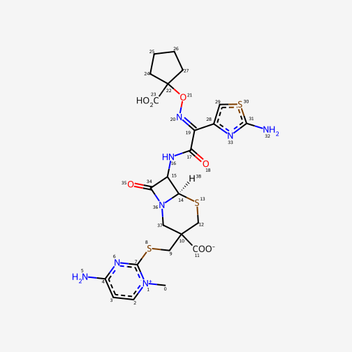 C[n+]1ccc(N)nc1SCC1(C(=O)[O-])CS[C@@H]2C(NC(=O)C(=NOC3(C(=O)O)CCCC3)c3csc(N)n3)C(=O)N2C1